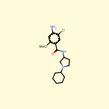 COc1cc(N)c(Cl)cc1C(=O)NC1CCN(C2CCCCC2)C1